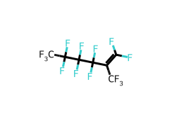 FC(F)=C(C(F)(F)F)C(F)(F)C(F)(F)C(F)(F)C(F)(F)F